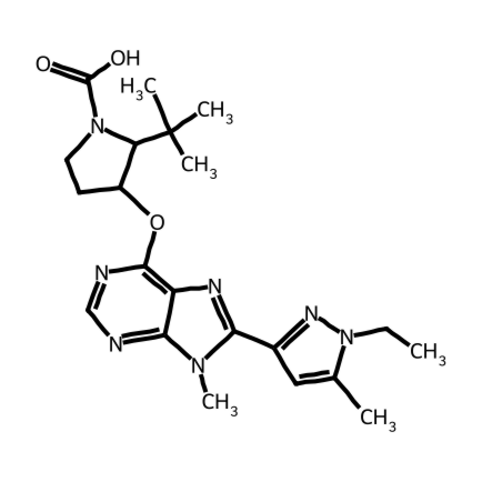 CCn1nc(-c2nc3c(OC4CCN(C(=O)O)C4C(C)(C)C)ncnc3n2C)cc1C